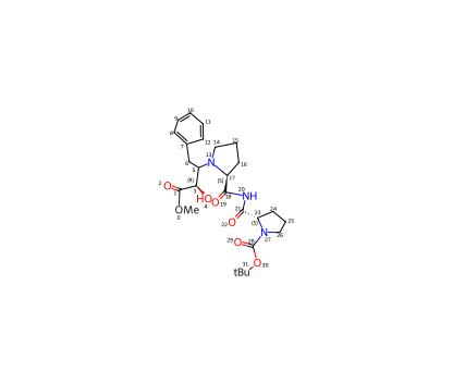 COC(=O)[C@H](O)C(Cc1ccccc1)N1CCC[C@H]1C(=O)NC(=O)[C@@H]1CCCN1C(=O)OC(C)(C)C